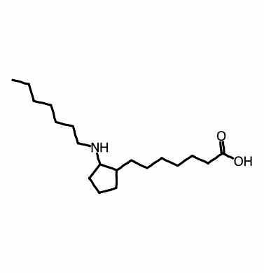 CCCCCCCNC1CCCC1CCCCCCC(=O)O